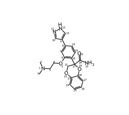 CN(C)CCOc1cc(-c2cn[nH]c2)ccc1C1(C(N)=O)COc2ccccc2O1